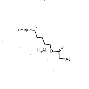 CCCCCCCCCCCCOC(=O)CC(C)=O.[AlH3]